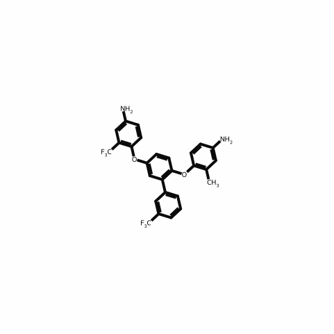 Cc1cc(N)ccc1Oc1ccc(Oc2ccc(N)cc2C(F)(F)F)cc1-c1cccc(C(F)(F)F)c1